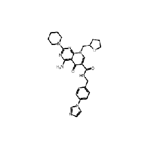 Nc1nc(N2CCCCC2)nc2c1c(=O)c(C(=O)NCc1ccc(-n3ccnc3)cc1)cn2CC1CCCO1